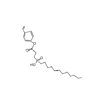 C=Cc1ccc(OC(=O)CCP(=O)(O)CCCCCCCCCCCC)cc1